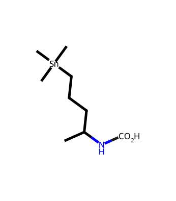 CC(CC[CH2][Sn]([CH3])([CH3])[CH3])NC(=O)O